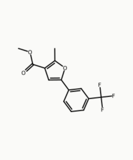 COC(=O)c1cc(-c2cccc(C(F)(F)F)c2)oc1C